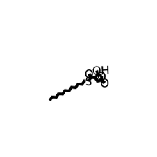 CCCCCCCCCCCCSC(=O)C1=CC(=O)OC1O